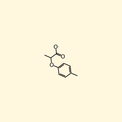 Cc1ccc(OC(C)C([O])=O)cc1